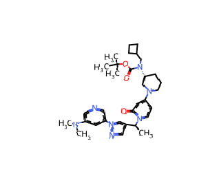 CC(c1cnn(-c2cncc(N(C)C)c2)c1)n1ccc(N2CCC[C@@H](N(CC3CCC3)C(=O)OC(C)(C)C)C2)cc1=O